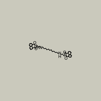 O=C1c2cccc3cccc(c23)C(=O)N1CCCNCCCCCCCCCCCCNCCCN1C(=O)c2cccc3cccc(c23)C1=O